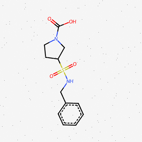 O=C(O)N1CCC(S(=O)(=O)NCc2ccccc2)C1